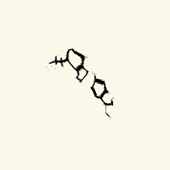 COC(C)(C)C(F)(F)c1cccc2c1CC[C@H]2Oc1ccc2c(c1)OC[C@H]2CC(=O)O